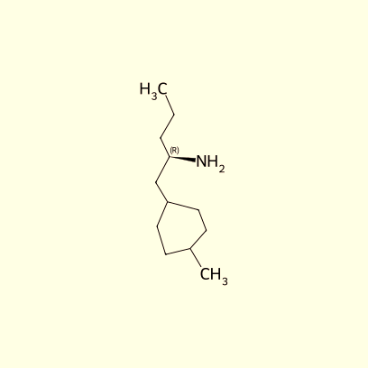 CCC[C@@H](N)CC1CCC(C)CC1